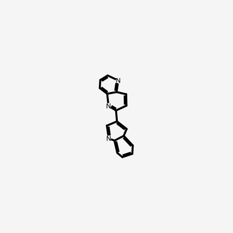 c1ccc2ncc(-c3ccc4ncccc4n3)cc2c1